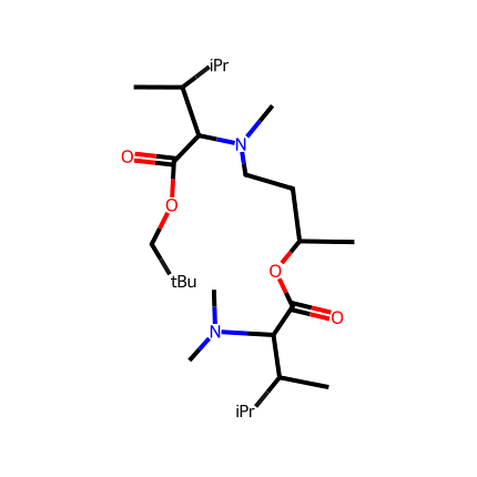 CC(CCN(C)C(C(=O)OCC(C)(C)C)C(C)C(C)C)OC(=O)C(C(C)C(C)C)N(C)C